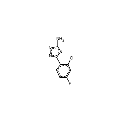 Nc1nnc(-c2ccc(F)cc2Cl)s1